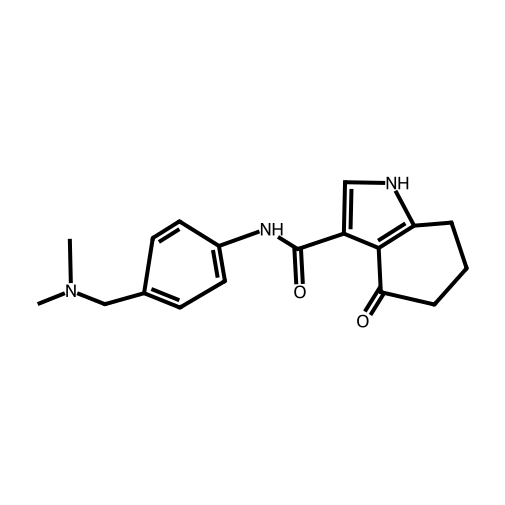 CN(C)Cc1ccc(NC(=O)c2c[nH]c3c2C(=O)CCC3)cc1